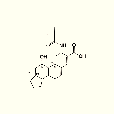 CC(C)(C)C(=O)NC1C[C@@]2(C)C(=CCC3C4CCC[C@@]4(C)C[C@H](O)C32)C=C1C(=O)O